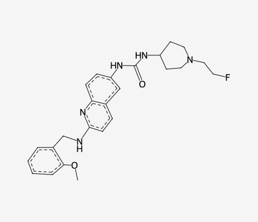 COc1ccccc1CNc1ccc2cc(NC(=O)NC3CCN(CCF)CC3)ccc2n1